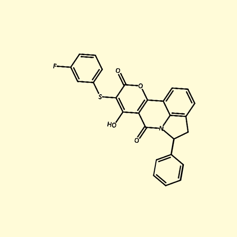 O=c1oc2c(c(O)c1Sc1cccc(F)c1)c(=O)n1c3c(cccc23)CC1c1ccccc1